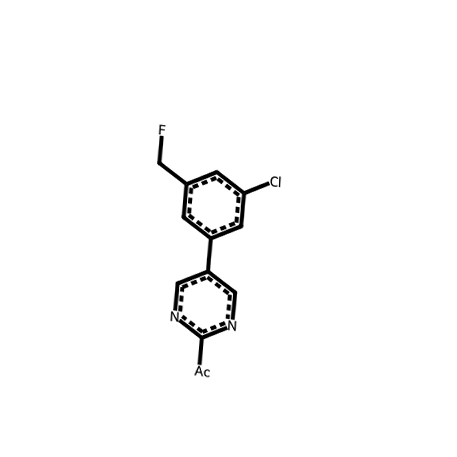 CC(=O)c1ncc(-c2cc(Cl)cc(CF)c2)cn1